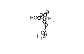 COC(=O)CCCCOc1ccc(-c2c3ccc(=O)cc-3oc3cc(O)ccc23)c(C)c1